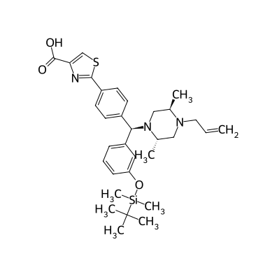 C=CCN1C[C@H](C)N([C@H](c2ccc(-c3nc(C(=O)O)cs3)cc2)c2cccc(O[Si](C)(C)C(C)(C)C)c2)C[C@H]1C